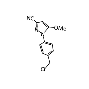 COc1cc(C#N)nn1-c1ccc(CCl)cc1